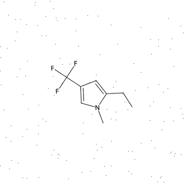 CCc1cc(C(F)(F)F)cn1C